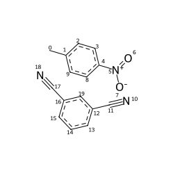 Cc1ccc([N+](=O)[O-])cc1.N#Cc1cccc(C#N)c1